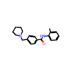 Cc1ccccc1NC(=O)c1ccc(CN2CCCCC2)cc1